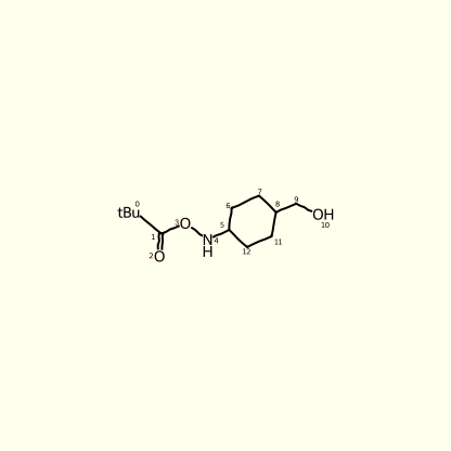 CC(C)(C)C(=O)ONC1CCC(CO)CC1